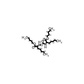 CCCCCOC(=O)C(CCCCC)NOC(=O)NC(CCCCC)C(=O)OCCCCC